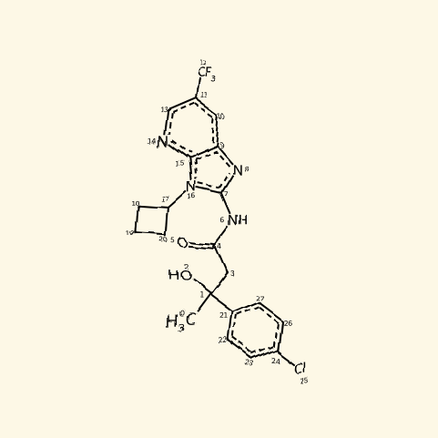 CC(O)(CC(=O)Nc1nc2cc(C(F)(F)F)cnc2n1C1CCC1)c1ccc(Cl)cc1